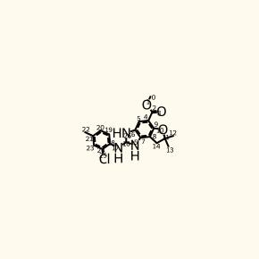 COC(=O)c1cc2c(c3c1OC(C)(C)C3)NC(Nc1ccc(C)cc1Cl)N2